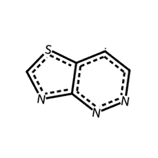 [c]1cnnc2ncsc12